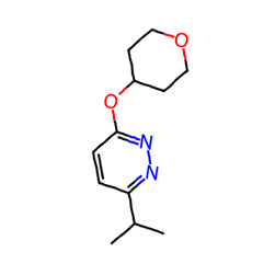 CC(C)c1ccc(OC2CCOCC2)nn1